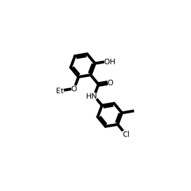 CCOc1cccc(O)c1C(=O)Nc1ccc(Cl)c(C)c1